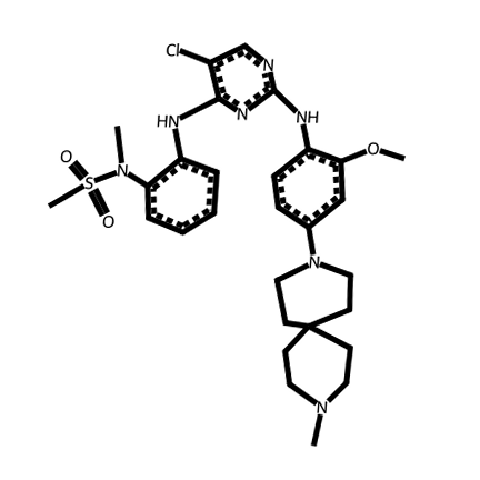 COc1cc(N2CCC3(CCN(C)CC3)CC2)ccc1Nc1ncc(Cl)c(Nc2ccccc2N(C)S(C)(=O)=O)n1